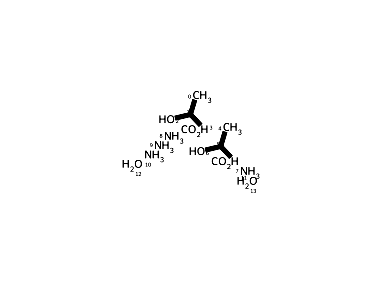 CC(O)C(=O)O.CC(O)C(=O)O.N.N.N.N.O.O